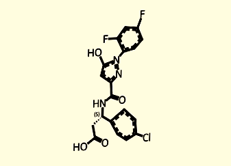 O=C(O)C[C@H](NC(=O)c1cc(O)n(-c2ccc(F)cc2F)n1)c1ccc(Cl)cc1